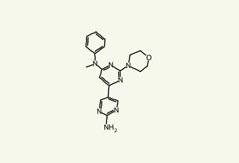 CN(c1ccccc1)c1cc(-c2cnc(N)nc2)nc(N2CCOCC2)n1